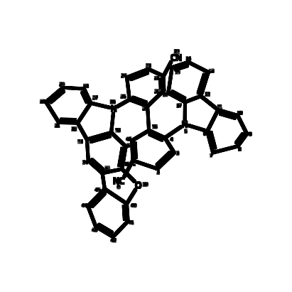 N#Cc1ccc(-n2c3ccccc3c3ccccc32)c(-c2cc(C#N)ccc2-n2c3ccccc3c3cc4c(cc32)oc2ccccc24)c1